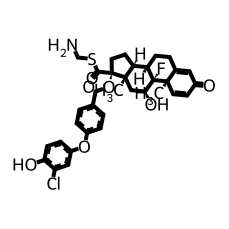 C[C@]12C=CC(=O)C=C1CC[C@H]1[C@@H]3CC[C@](OC(=O)c4ccc(Oc5ccc(O)c(Cl)c5)cc4)(C(=O)SCN)[C@@]3(C)C[C@H](O)[C@@]12F